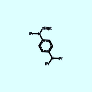 CCCCCCCN(c1ccc(N(C(C)C)C(C)C)cc1)C(C)C